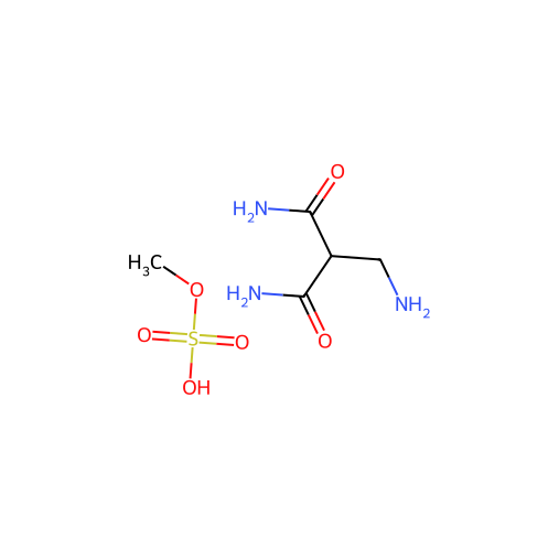 COS(=O)(=O)O.NCC(C(N)=O)C(N)=O